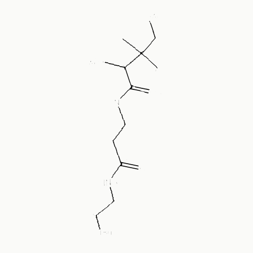 CC(=O)OCC(C)(C)C(OC(C)=O)C(=O)NCCC(=O)NCCC(C)(C)C